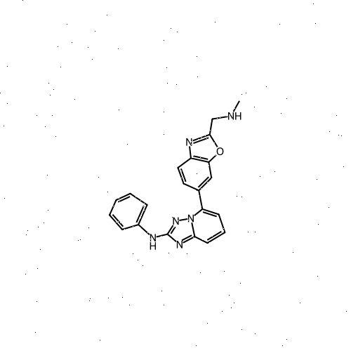 CNCc1nc2ccc(-c3cccc4nc(Nc5ccccc5)nn34)cc2o1